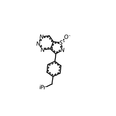 CC(C)Cc1ccc(-c2n[s+]([O-])c3cnnnc23)cc1